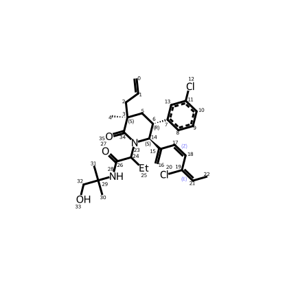 C=CC[C@@]1(C)C[C@H](c2cccc(Cl)c2)[C@@H](C(=C)/C=C\C(Cl)=C/C)N(C(CC)C(=O)NC(C)(C)CO)C1=O